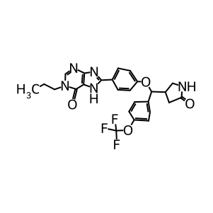 CCCn1cnc2nc(-c3ccc(OC(c4ccc(OC(F)(F)F)cc4)C4CNC(=O)C4)cc3)[nH]c2c1=O